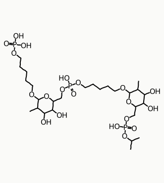 CC(C)OP(=O)(O)OCC1OC(OCCCCCOP(=O)(O)OCC2OC(OCCCCCOP(=O)(O)O)C(C)C(O)C2O)C(C)C(O)C1O